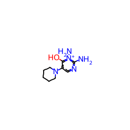 Nc1ncc(N2CCCCC2)c(O)[n+]1N